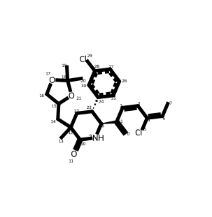 C=C(/C=C\C(Cl)=C/C)[C@H]1NC(=O)C(C)(CC2COC(C)(C)O2)C[C@@H]1c1cccc(Cl)c1